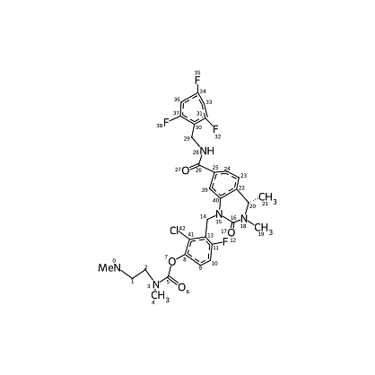 CNCCN(C)C(=O)Oc1ccc(F)c(CN2C(=O)N(C)[C@@H](C)c3ccc(C(=O)NCc4c(F)cc(F)cc4F)cc32)c1Cl